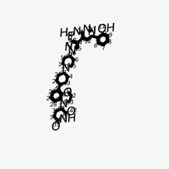 Nc1nnc(-c2ccccc2O)cc1-c1cn(C2CCN(C3CCC(c4cccc5c4OCCN5[C@H]4CCC(=O)NC4=O)CC3)CC2)nc1F